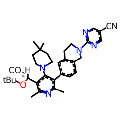 Cc1nc(C)c(C(OC(C)(C)C)C(=O)O)c(N2CCC(C)(C)CC2)c1-c1ccc2c(c1)CCN(c1ncc(C#N)cn1)C2